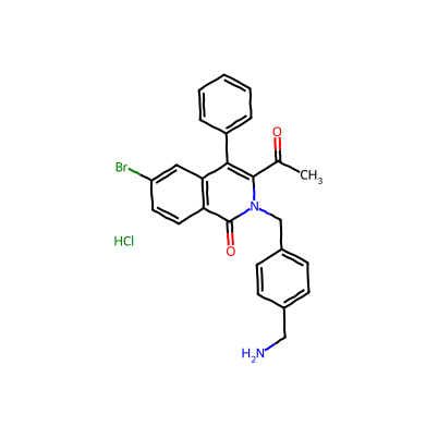 CC(=O)c1c(-c2ccccc2)c2cc(Br)ccc2c(=O)n1Cc1ccc(CN)cc1.Cl